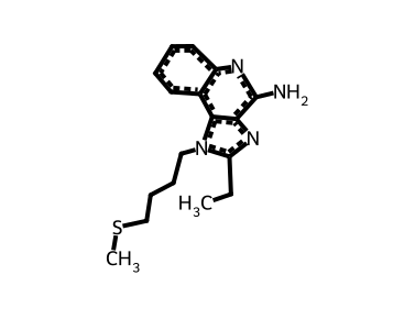 CCc1nc2c(N)nc3ccccc3c2n1CCCCSC